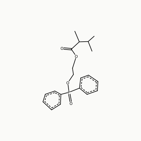 CC(C)C(C)C(=O)OCCOP(=O)(c1ccccc1)c1ccccc1